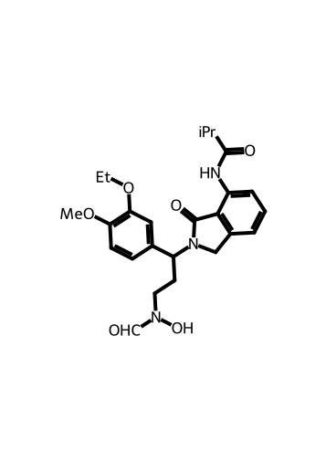 CCOc1cc(C(CCN(O)C=O)N2Cc3cccc(NC(=O)C(C)C)c3C2=O)ccc1OC